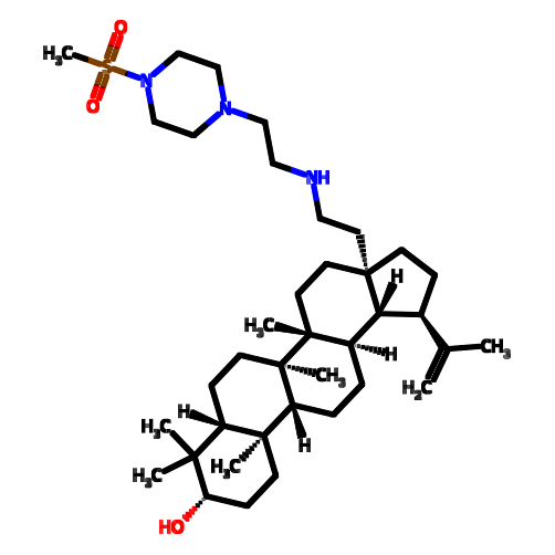 C=C(C)[C@@H]1CC[C@]2(CCNCCN3CCN(S(C)(=O)=O)CC3)CC[C@]3(C)[C@H](CC[C@@H]4[C@@]5(C)CC[C@H](O)C(C)(C)[C@@H]5CC[C@]43C)[C@@H]12